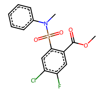 COC(=O)c1cc(F)c(Cl)cc1S(=O)(=O)N(C)c1ccccc1